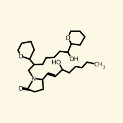 CCCCCC(O)C=CC1CCC(=O)N1CC(CCCCC(O)C1CCCCO1)C1CCCCO1